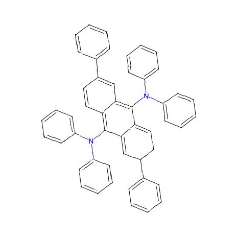 C1=c2c(N(c3ccccc3)c3ccccc3)c3ccc(-c4ccccc4)cc3c(N(c3ccccc3)c3ccccc3)c2=CCC1c1ccccc1